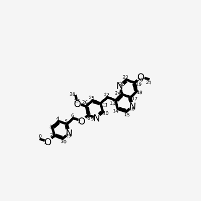 COc1ccc(COc2ncc(Cc3ccnc4cc(OC)cnc34)cc2OC)nc1